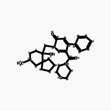 CN1CCC(O)(Cn2cc(C(=O)N3CCOCC3)c(-c3ccccc3)cc2=O)C2(CCCC2)C1